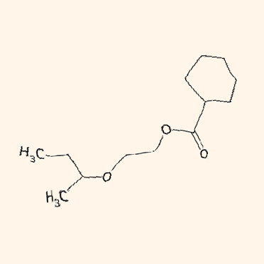 CCC(C)OCCOC(=O)C1CCCCC1